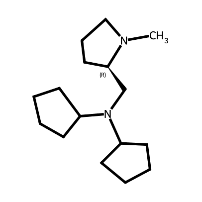 CN1CCC[C@@H]1CN(C1CCCC1)C1CCCC1